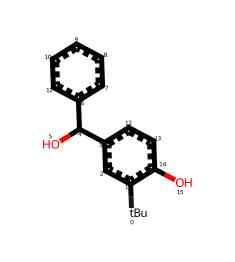 CC(C)(C)c1cc(C(O)c2ccccc2)ccc1O